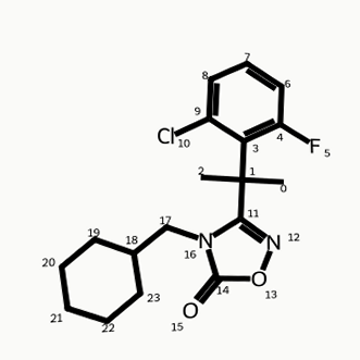 CC(C)(c1c(F)cccc1Cl)c1noc(=O)n1CC1CCCCC1